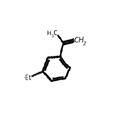 C=C(C)c1cccc([CH]C)c1